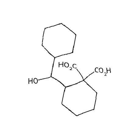 O=C(O)C1(C(=O)O)CCCCC1C(O)C1CCCCC1